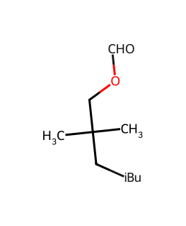 CCC(C)CC(C)(C)COC=O